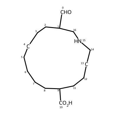 O=CC1CCCCCCCC(C(=O)O)CCCCNC1